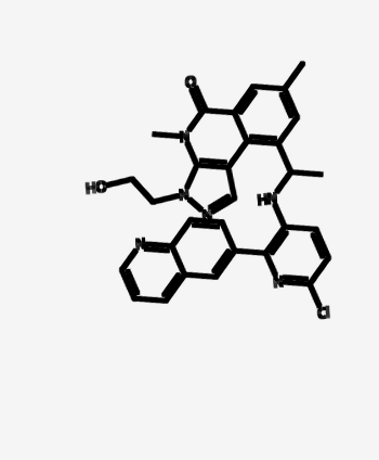 Cc1cc(C(C)Nc2ccc(Cl)nc2-c2ccc3ncccc3c2)c2c(c1)c(=O)n(C)c1c2cnn1CCO